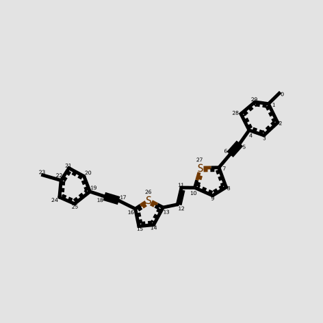 Cc1ccc(C#Cc2ccc(/C=C/c3ccc(C#Cc4ccc(C)cc4)s3)s2)cc1